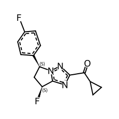 O=C(c1nc2n(n1)[C@H](c1ccc(F)cc1)C[C@@H]2F)C1CC1